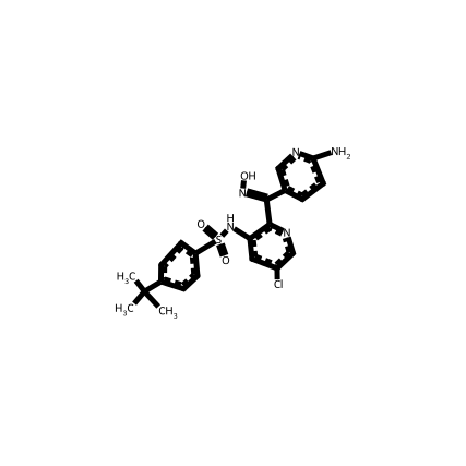 CC(C)(C)c1ccc(S(=O)(=O)Nc2cc(Cl)cnc2C(=NO)c2ccc(N)nc2)cc1